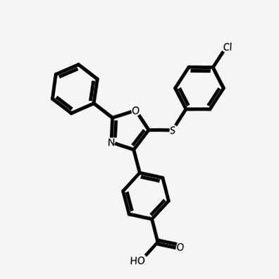 O=C(O)c1ccc(-c2nc(-c3ccccc3)oc2Sc2ccc(Cl)cc2)cc1